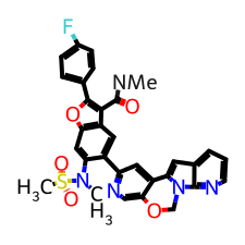 CNC(=O)c1c(-c2ccc(F)cc2)oc2cc(N(C)S(C)(=O)=O)c(-c3cc4c(cn3)OCn3c-4cc4cccnc43)cc12